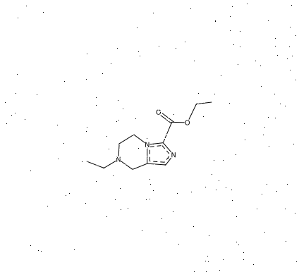 CCOC(=O)c1ncc2n1CCN(CC)C2